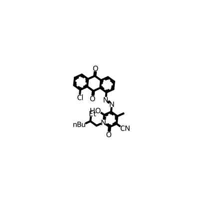 CCCCC(CC)Cn1c(O)c(/N=N/c2cccc3c2C(=O)c2c(Cl)cccc2C3=O)c(C)c(C#N)c1=O